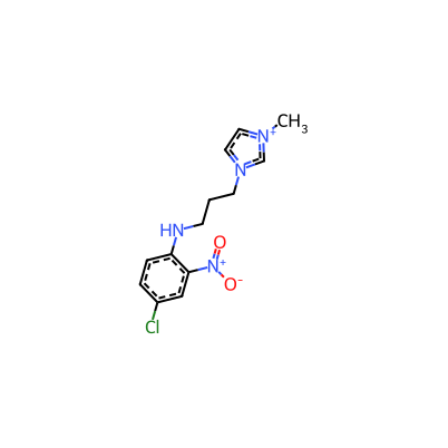 C[n+]1ccn(CCCNc2ccc(Cl)cc2[N+](=O)[O-])c1